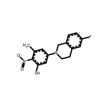 Cc1cc(N2CCc3cc(F)ccc3C2)cc(S)c1[N+](=O)[O-]